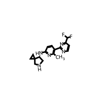 Cc1nc(N[C@@H]2CNCC23CC3)ccc1-c1nccc(C(F)F)n1